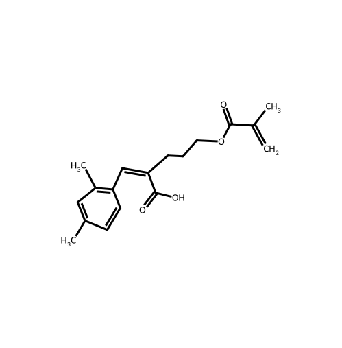 C=C(C)C(=O)OCCCC(=Cc1ccc(C)cc1C)C(=O)O